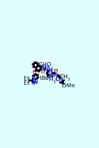 CCC(CC)c1nnc2ccc(O[C@@H]3C=C[C@](C=O)(NC(=O)Nc4cc(C(C)(C)C)nc(C(=O)NCC(C)(C)N5CC(OC)C5)n4)c4ccccc43)cn12